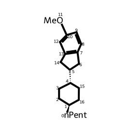 CCCCC[C@H]1CC[C@H](C2Cc3ccc(OC)cc3C2)CC1